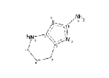 Nc1nc2c(s1)NCCC2